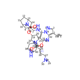 CC(C)c1cnn2c(NCC3CC4CCC(C3)N4C(=O)OC3CCN(C(=O)/C=C/CN(C)C)C3)cc(O[C@@H]3CCCNC3)nc12